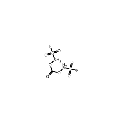 O=C(O[SiH2]S(=O)(=O)F)O[SiH2]S(=O)(=O)F